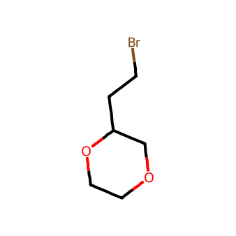 BrCCC1COCCO1